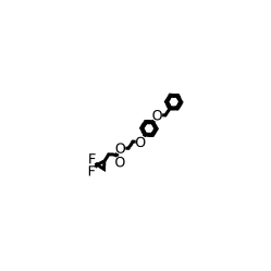 O=C(CC1CC1(F)F)OCCOc1ccc(OCc2ccccc2)cc1